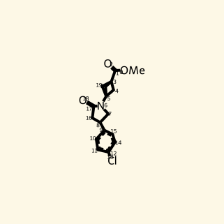 COC(=O)C12CC(N3CC(c4ccc(Cl)cc4)CC3=O)(C1)C2